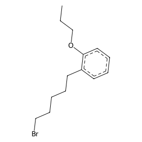 CCCOc1ccccc1CCCCCBr